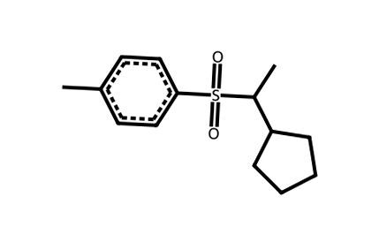 Cc1ccc(S(=O)(=O)C(C)C2CCCC2)cc1